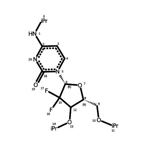 CC(C)Nc1ccn([C@@H]2O[C@H](COC(C)C)C(OC(C)C)C2(F)F)c(=O)n1